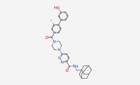 O=C(NCC12CC3CC(CC(C3)C1)C2)c1ccc(N2CCN(C(=O)c3ccc(-c4cccc(O)c4)c(F)c3)CC2)nn1